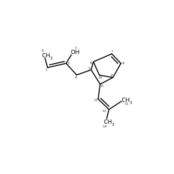 CC=C(O)CC1C2C=CC(C2)C1C=C(C)C